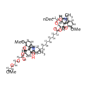 CCCCCCCCCCCC(=O)O[C@@]12CC=C(OC(=O)CCCCCCCCCC(C)CN3CC[C@]45c6c7ccc(OC)c6O[C@H]4C(OC(=O)COCCOCCOC)=CC[C@@]5(O)[C@H]3C7)[C@@H]3Oc4c(OC)ccc5c4[C@@]31CCN(C)[C@@H]2C5